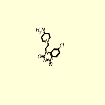 NC1CCN(CCn2c(=O)n[n+]([O-])c3ccc(Cl)cc32)CC1